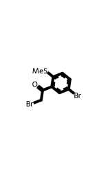 CSc1ccc(Br)cc1C(=O)CBr